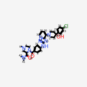 CN1CCN(C(=O)c2ccc(Nc3nc4c(N5CCC(O)(c6ccc(Cl)cc6)CC5)cccn4n3)cc2)C(C(=O)N(C)C)C1